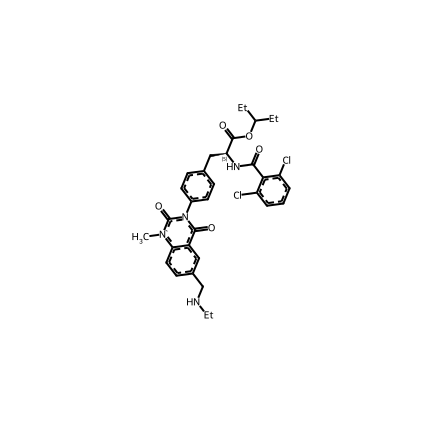 CCNCc1ccc2c(c1)c(=O)n(-c1ccc(C[C@H](NC(=O)c3c(Cl)cccc3Cl)C(=O)OC(CC)CC)cc1)c(=O)n2C